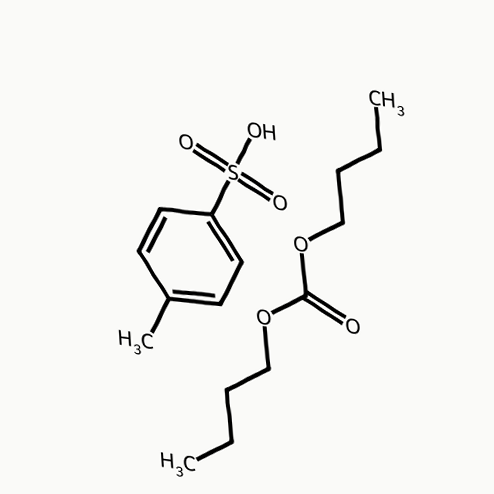 CCCCOC(=O)OCCCC.Cc1ccc(S(=O)(=O)O)cc1